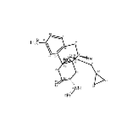 CCCN[C@H]1C[C@@]2(O)[C@H]3Cc4ccc(C)cc4[C@@]2(CCN3CC2CC2)CC1=O